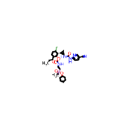 CCC(=O)c1ccc(F)c([C@@H]2C[C@@H]2NC(=O)Nc2ccc(C#N)cn2)c1OC(=O)NCCP(C)(=O)Oc1ccccc1